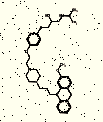 COc1ccc2c(c1)N(CCCN1CCN(CCOc3ccc(OCC(O)CNC(C)C)cc3)CC1)c1ccccc1S2